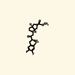 COC(=O)N1C[C@@H]2CCN(CC(=O)C(N)Cc3cc(F)c(F)cc3F)[C@@H]2C1